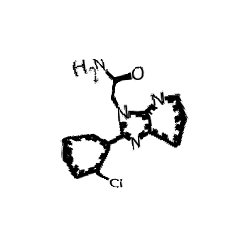 NC(=O)Cn1c(-c2ccccc2Cl)nc2cccnc21